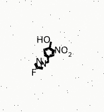 O=[N+]([O-])c1cc(Cn2cc(F)cn2)ccc1CO